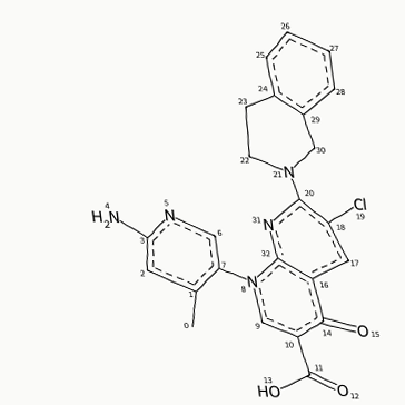 Cc1cc(N)ncc1-n1cc(C(=O)O)c(=O)c2cc(Cl)c(N3CCc4ccccc4C3)nc21